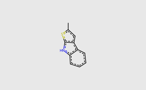 Cc1cc2c([nH]c3ccccc32)s1